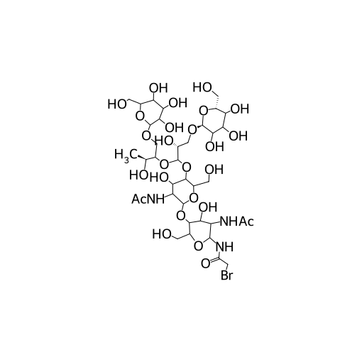 CC(=O)NC1C(NC(=O)CBr)OC(CO)C(OC2OC(CO)C(OC(OC(COC3OC(CO)C(O)C(O)C3O)[C@H](C)O)[C@H](O)CO[C@H]3O[C@H](CO)C(O)C(O)C3O)C(O)C2NC(C)=O)C1O